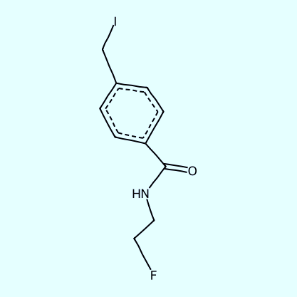 O=C(NCCF)c1ccc(CI)cc1